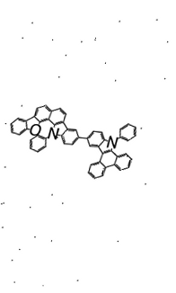 c1ccc(-n2c3ccc(-c4ccc5c(c4)c4ccc6ccc7c8ccccc8oc7c6c4n5-c4ccccc4)cc3c3c4ccccc4c4ccccc4c32)cc1